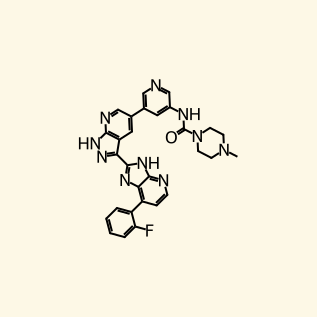 CN1CCN(C(=O)Nc2cncc(-c3cnc4[nH]nc(-c5nc6c(-c7ccccc7F)ccnc6[nH]5)c4c3)c2)CC1